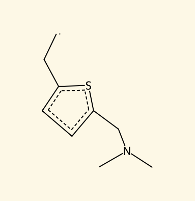 [CH2]Cc1ccc(CN(C)C)s1